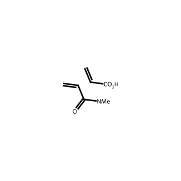 C=CC(=O)NC.C=CC(=O)O